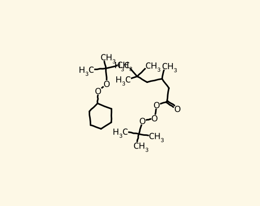 CC(C)(C)OOC1CCCCC1.CC(CC(=O)OOOC(C)(C)C)CC(C)(C)C